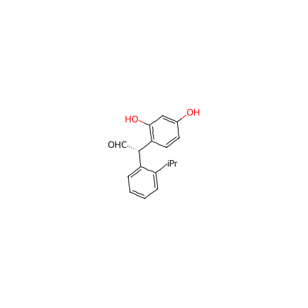 CC(C)c1ccccc1[C@H](C=O)c1ccc(O)cc1O